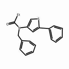 CCC(=O)N(Cc1ccccc1)c1csc(-c2ccccc2)c1